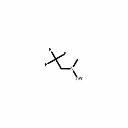 CCCN(C)CC(F)(F)F